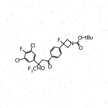 CC(C)(C)OC(=O)N1CC(F)(c2ccc(C(=O)CC(O)(c3cc(Cl)c(F)c(Cl)c3)C(F)(F)F)cc2)C1